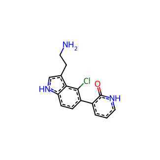 NCCc1c[nH]c2ccc(-c3ccc[nH]c3=O)c(Cl)c12